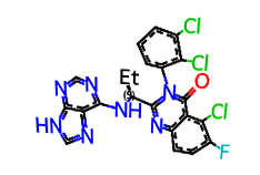 CC[C@H](Nc1ncnc2[nH]cnc12)c1nc2ccc(F)c(Cl)c2c(=O)n1-c1cccc(Cl)c1Cl